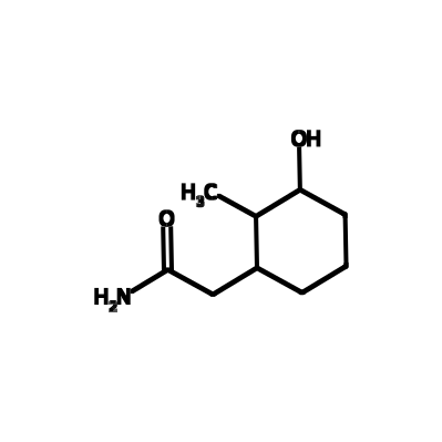 CC1C(O)CCCC1CC(N)=O